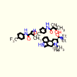 C/C(O)=C(\C#N)C(=O)Nc1ccc(C(F)(F)F)cc1.CCN(CC)C(=O)[C@@H]1C=C2c3cccc4[nH]cc(c34)C[C@H]2N(C)C1.Cc1oncc1C(=O)Nc1ccc(C(F)(F)F)cc1.[He]